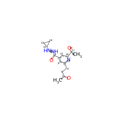 CC(=O)CCc1cc(C(=O)NNC2CC2)cc(C(C)=O)n1